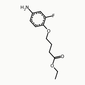 CCOC(=O)CCCOc1ccc(N)cc1F